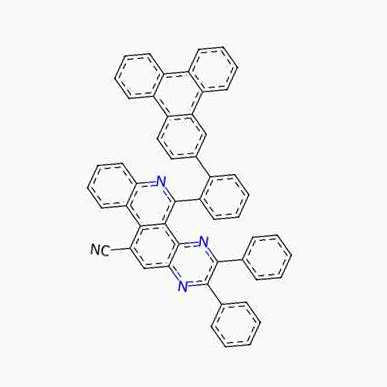 N#Cc1cc2nc(-c3ccccc3)c(-c3ccccc3)nc2c2c(-c3ccccc3-c3ccc4c5ccccc5c5ccccc5c4c3)nc3ccccc3c12